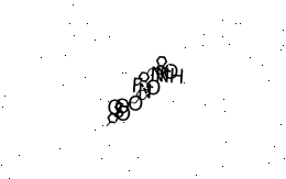 Cc1ccc(S(=O)(=O)OCCOC2CCN(C(=O)c3cc(Cc4n[nH]c(=O)c5ccccc45)ccc3F)CC2)cc1